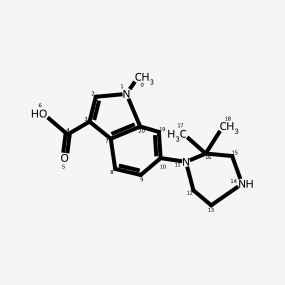 Cn1cc(C(=O)O)c2ccc(N3CCNCC3(C)C)cc21